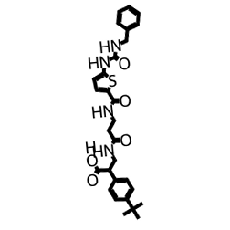 CC(C)(C)c1ccc(C(CNC(=O)CCNC(=O)c2ccc(NC(=O)NCc3ccccc3)s2)C(=O)O)cc1